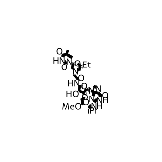 CC[C@@H]1CN(CC(=O)N[C@H]2O[C@@H](n3cnc4c(=O)[nH]c(NC(=O)C(C)C)nc43)[C@@H](OCCOC)C2O)C[C@H](n2cc(C)c(=O)[nH]c2=O)O1